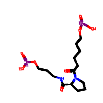 O=C(NCCCO[PH](=O)O)[C@@H]1CCCN1C(=O)CCCCCO[PH](=O)O